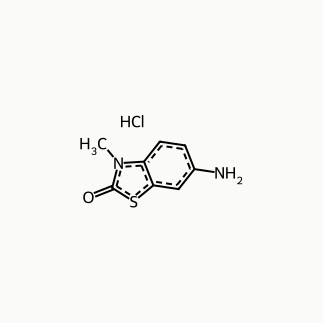 Cl.Cn1c(=O)sc2cc(N)ccc21